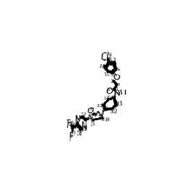 O=C(CCOc1ccc(Cl)cc1)N[C@H]1CC[C@H](N2CCN(c3cnc(C(F)F)cn3)C2=O)CC1